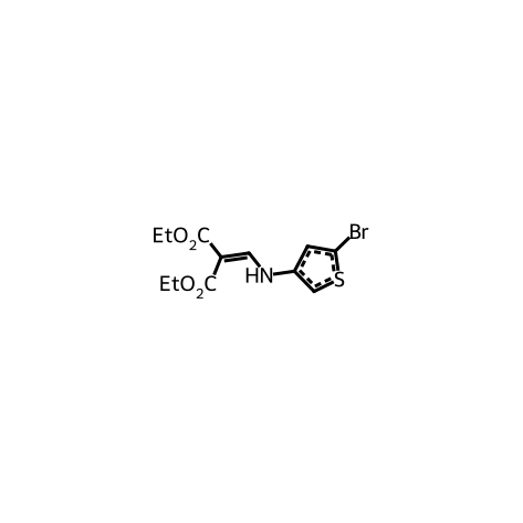 CCOC(=O)C(=CNc1csc(Br)c1)C(=O)OCC